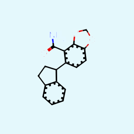 NC(=O)c1c(C2CCc3ccccc32)ccc2c1OCO2